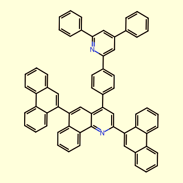 c1ccc(-c2cc(-c3ccccc3)nc(-c3ccc(-c4cc(-c5cc6ccccc6c6ccccc56)nc5c4cc(-c4cc6ccccc6c6ccccc46)c4ccccc45)cc3)c2)cc1